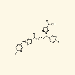 O=C(O)c1cnn(C(CCOC(=O)c2cnn(Cc3ccc(F)nc3)c2)c2ccc(F)nc2)c1